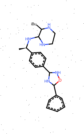 CCC(C)C1NCCNC1N[C@H](C)c1ccc(C2NOC(c3ccccc3)N2)cc1